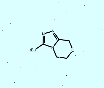 CC(C)(C)c1nnc2n1CCOC2